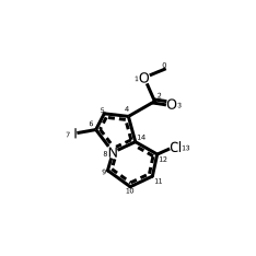 COC(=O)c1cc(I)n2cccc(Cl)c12